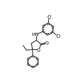 CCC1(c2ccccc2)CC(Nc2cc(Cl)cc(Cl)c2)C(=O)O1